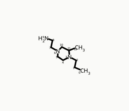 CCCN1CCN(CCN)CC1C